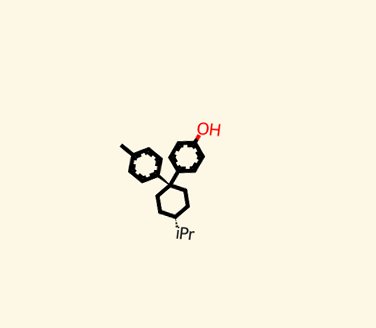 Cc1ccc([C@]2(c3ccc(O)cc3)CC[C@@H](C(C)C)CC2)cc1